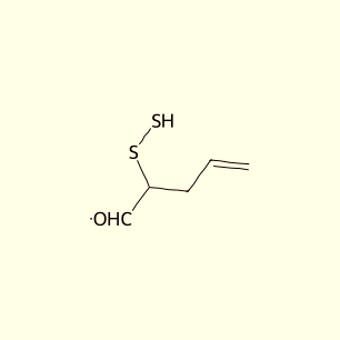 C=CCC([C]=O)SS